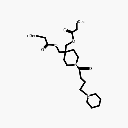 CCCCCCCCCCCC(=O)OCC1(COC(=O)CCCCCCCCCCC)CCN(C(=O)CCCN2CCCCC2)CC1